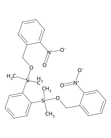 C[Si](C)(OCc1ccccc1[N+](=O)[O-])c1ccccc1[Si](C)(C)OCc1ccccc1[N+](=O)[O-]